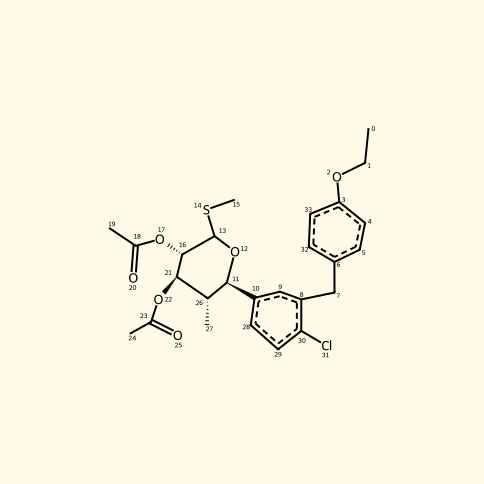 CCOc1ccc(Cc2cc([C@@H]3OC(SC)[C@@H](OC(C)=O)[C@H](OC(C)=O)[C@H]3C)ccc2Cl)cc1